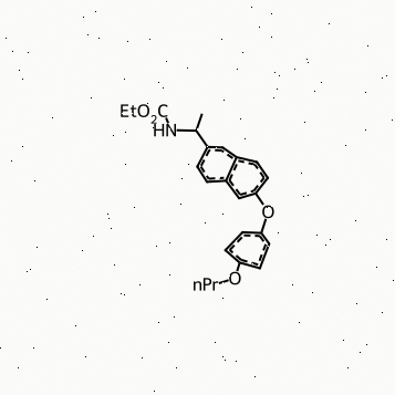 CCCOc1ccc(Oc2ccc3cc(C(C)NC(=O)OCC)ccc3c2)cc1